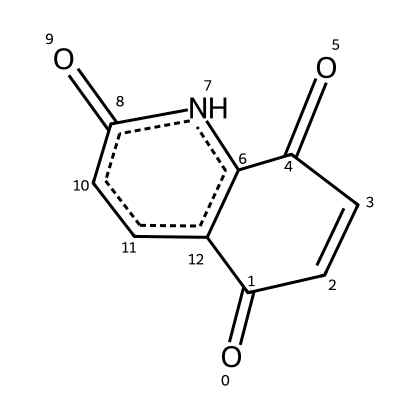 O=C1C=CC(=O)c2[nH]c(=O)ccc21